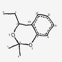 CCC1OC(C)(C)Oc2ccccc21